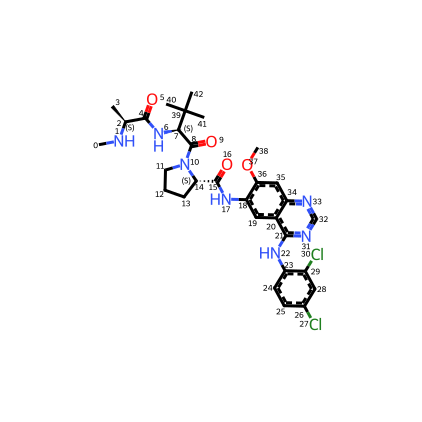 CN[C@@H](C)C(=O)N[C@H](C(=O)N1CCC[C@H]1C(=O)Nc1cc2c(Nc3ccc(Cl)cc3Cl)ncnc2cc1OC)C(C)(C)C